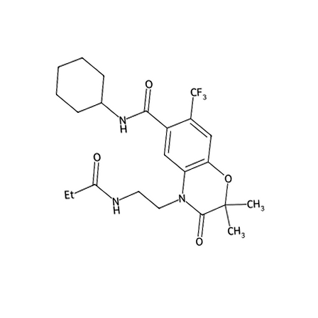 CCC(=O)NCCN1C(=O)C(C)(C)Oc2cc(C(F)(F)F)c(C(=O)NC3CCCCC3)cc21